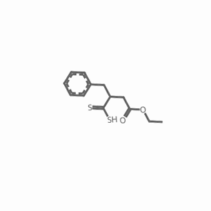 CCOC(=O)CC(Cc1ccccc1)C(=S)S